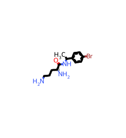 CC(NC(=O)[C@H](N)CCCN)c1ccc(Br)cc1